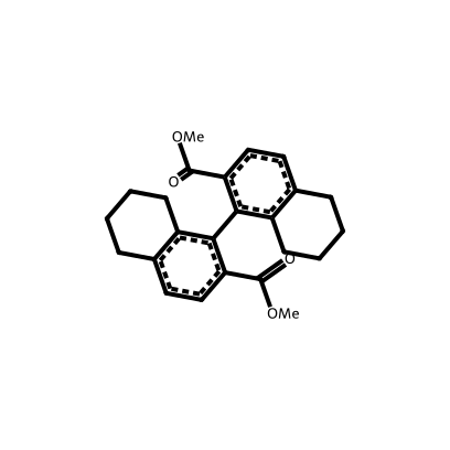 COC(=O)c1ccc2c(c1-c1c(C(=O)OC)ccc3c1CCCC3)CCCC2